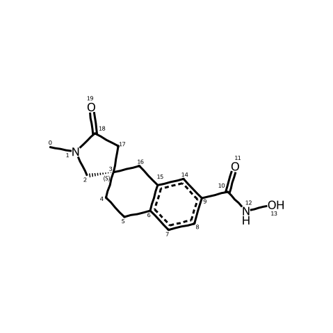 CN1C[C@]2(CCc3ccc(C(=O)NO)cc3C2)CC1=O